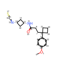 COc1ccc(C2(CCC(=O)N[C@H]3C[C@@H](N=C=S)C3)CCC2)cc1